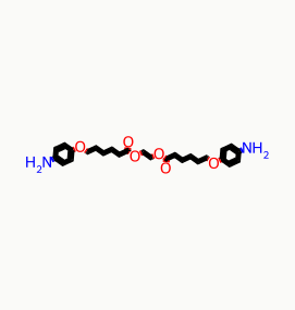 Nc1ccc(OCCCCCC(=O)OCCOC(=O)CCCCCOc2ccc(N)cc2)cc1